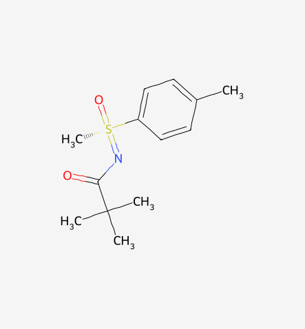 Cc1ccc([S@](C)(=O)=NC(=O)C(C)(C)C)cc1